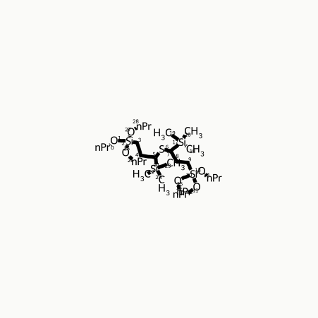 CCCO[Si](CCC(SC(CC[Si](OCCC)(OCCC)OCCC)[Si](C)(C)C)[Si](C)(C)C)(OCCC)OCCC